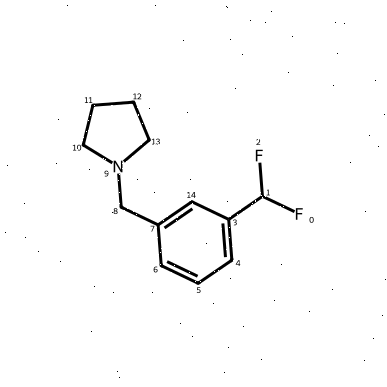 FC(F)c1cccc(CN2CCCC2)c1